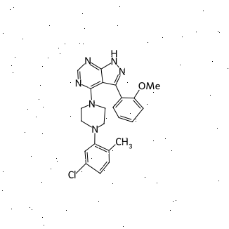 COc1ccccc1-c1n[nH]c2ncnc(N3CCN(c4cc(Cl)ccc4C)CC3)c12